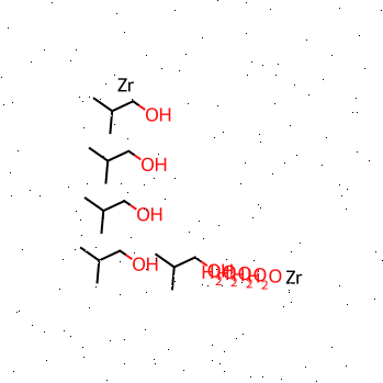 CC(C)CO.CC(C)CO.CC(C)CO.CC(C)CO.CC(C)CO.O.O.O.O.[Zr].[Zr]